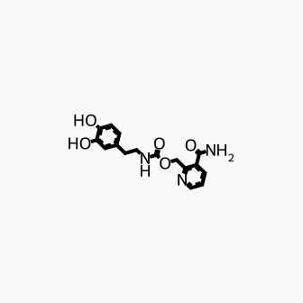 NC(=O)c1cccnc1COC(=O)NCCc1ccc(O)c(O)c1